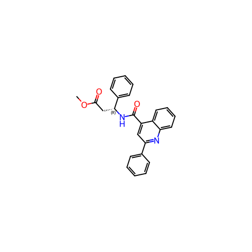 COC(=O)C[C@@H](NC(=O)c1cc(-c2ccccc2)nc2ccccc12)c1ccccc1